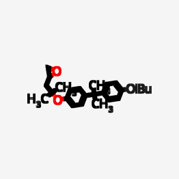 CC(C)COc1ccc(C(C)(C)c2ccc(OC(C)(C)CC3CO3)cc2)cc1